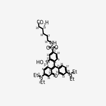 CCN(CC)c1ccc2c(-c3ccc(S(=O)(=O)NCCCCCC(=O)O)cc3S(=O)(=O)O)c3ccc(N(CC)CC)cc3[o+]c2c1